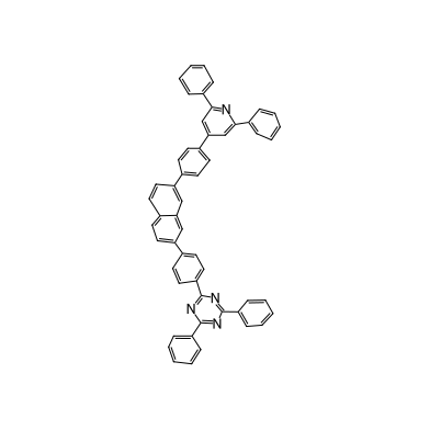 c1ccc(-c2cc(-c3ccc(-c4ccc5ccc(-c6ccc(-c7nc(-c8ccccc8)nc(-c8ccccc8)n7)cc6)cc5c4)cc3)cc(-c3ccccc3)n2)cc1